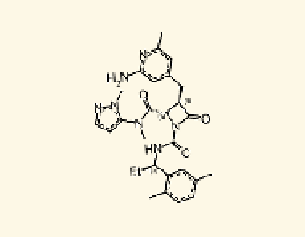 CC[C@@H](NC(=O)N1C(=O)[C@H](Cc2cc(C)nc(N)c2)[C@H]1C(=O)N(C)c1ccnn1C)c1cc(C)ccc1C